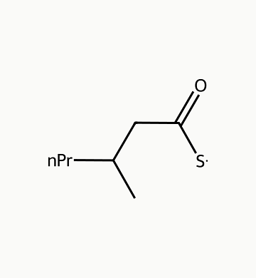 CCCC(C)CC(=O)[S]